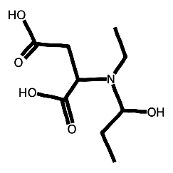 CCC(O)N(CC)C(CC(=O)O)C(=O)O